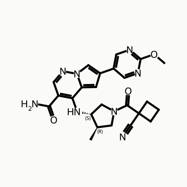 COc1ncc(-c2cc3c(N[C@@H]4CN(C(=O)C5(C#N)CCC5)C[C@H]4C)c(C(N)=O)cnn3c2)cn1